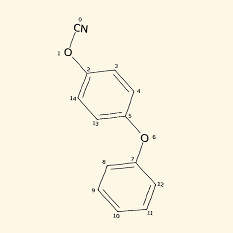 N#COc1ccc(Oc2ccccc2)cc1